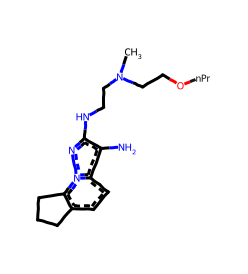 CCCOCCN(C)CCNc1nn2c3c(ccc2c1N)CCC3